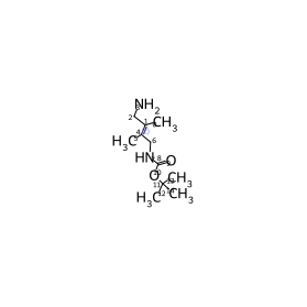 C/C(CN)=C(/C)CNC(=O)OC(C)(C)C